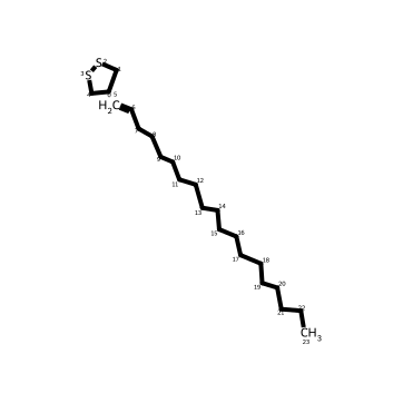 C1CSSC1.C=CCCCCCCCCCCCCCCCCC